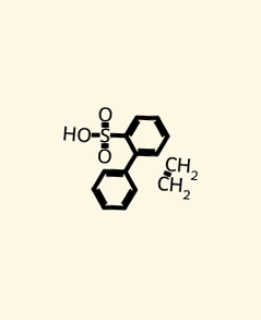 C=C.O=S(=O)(O)c1ccccc1-c1ccccc1